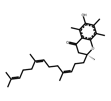 CC(C)=CCCC(C)=CCCC(C)=CCC[C@@]1(C)CC(=O)c2c(C)c(O)c(C)c(C)c2O1